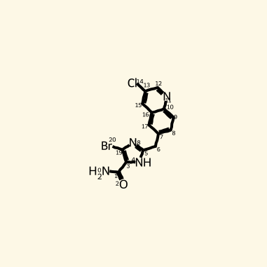 NC(=O)c1[nH]c(Cc2ccc3ncc(Cl)cc3c2)nc1Br